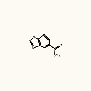 COC(=O)c1ccc2c(c1)N=N[N]2